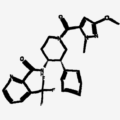 COc1cc(C(=O)N2CC[C@@H](NC(=O)c3ncccc3C(F)(F)F)[C@@H](c3ccccc3)C2)n(C)n1